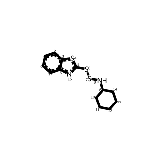 c1ccc2sc(SSNC3CCCCC3)nc2c1